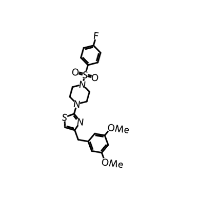 COc1cc(Cc2csc(N3CCN(S(=O)(=O)c4ccc(F)cc4)CC3)n2)cc(OC)c1